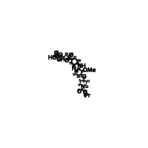 COc1c(OC2CCN(C(=O)OC(C)C)CC2)ccnc1Nc1ccc(S(=O)(=O)CCOP(=O)(O)O)cc1F